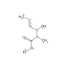 C/C=C/C(O)C(C)C(=O)OCC